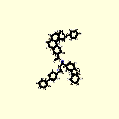 C=C(/N=C(\N=C(/C)c1ccc(-c2ccccc2)cc1)c1ccc2oc3ccccc3c2c1)c1ccc2c(ccc3ccc4nn(-c5ccccc5)nc4c32)c1